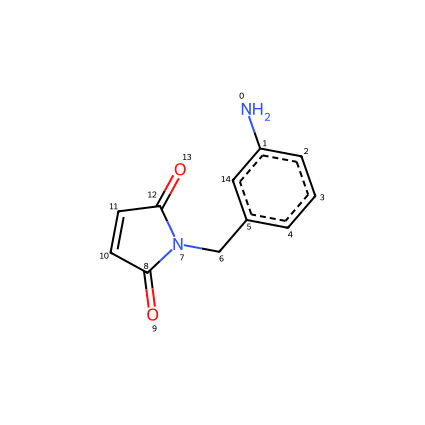 Nc1cccc(CN2C(=O)C=CC2=O)c1